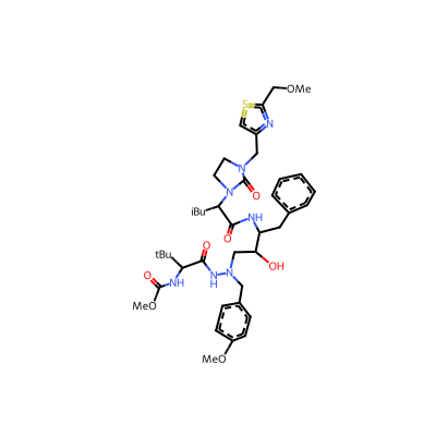 CCC(C)C(C(=O)NC(Cc1ccccc1)C(O)CN(Cc1ccc(OC)cc1)NC(=O)C(NC(=O)OC)C(C)(C)C)N1CCN(Cc2csc(COC)n2)C1=O